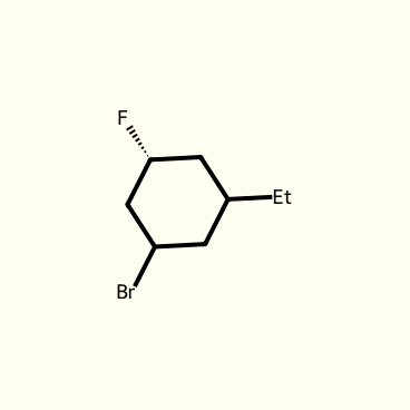 CCC1CC(Br)C[C@H](F)C1